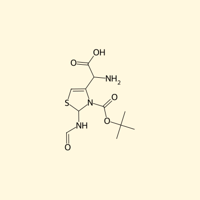 CC(C)(C)OC(=O)N1C(C(N)C(=O)O)=CSC1NC=O